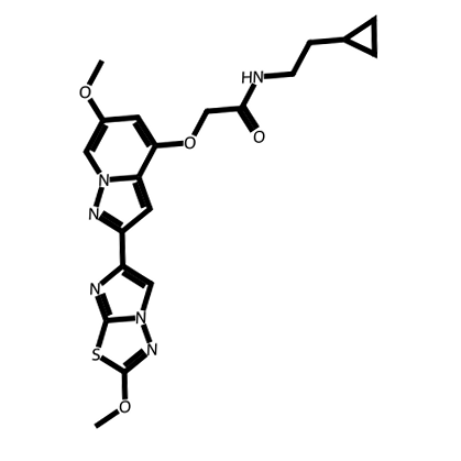 COc1cc(OCC(=O)NCCC2CC2)c2cc(-c3cn4nc(OC)sc4n3)nn2c1